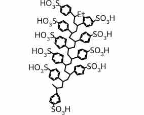 CCC(CC(CC(CC(CC(CC(CC(CC(CC(CC(C)c1ccc(S(=O)(=O)O)cc1)c1ccc(S(=O)(=O)O)cc1)c1ccc(S(=O)(=O)O)cc1)c1ccc(S(=O)(=O)O)cc1)c1ccc(S(=O)(=O)O)cc1)c1ccc(S(=O)(=O)O)cc1)c1ccc(S(=O)(=O)O)cc1)c1ccc(S(=O)(=O)O)cc1)c1ccc(S(=O)(=O)O)cc1)c1ccc(S(=O)(=O)O)cc1